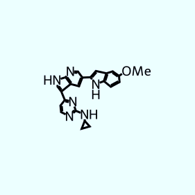 COc1ccc2[nH]c(-c3cnc4[nH]cc(-c5ccnc(NC6CC6)n5)c4c3)cc2c1